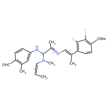 C/C=C\N(C)C(Nc1ccc(C=O)c(C)c1)/C(C)=N/C=C(\C)c1ccc(OC)c(F)c1F